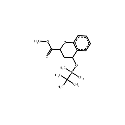 COC(=O)C1CC(O[Si](C)(C)C(C)(C)C)c2ccccc2O1